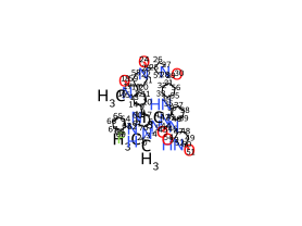 CC(C)n1cnc2cc(-c3ccc4c(c3)N(C)C(=O)C43CCN(C(=O)[C@H]4CCN(C(=O)[C@H]5CC[C@@H](Nc6cccc7c6n(C)c(=O)n7C6CCC(=O)NC6=O)CC5)C4)CC3)nc(Nc3ccccc3F)c21